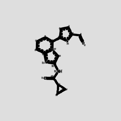 O=Cc1ccc(-c2cccc3nc(NC(=O)C4CC4)cn23)s1